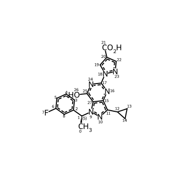 C[C@@H](c1cccc(F)c1)n1nc(C2CC2)c2nc(-n3cc(C(=O)O)cn3)nc(O)c21